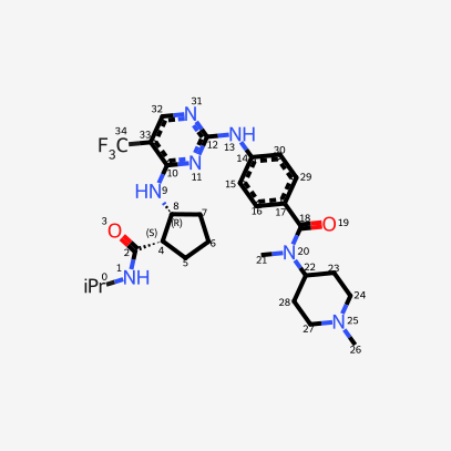 CC(C)NC(=O)[C@H]1CCC[C@H]1Nc1nc(Nc2ccc(C(=O)N(C)C3CCN(C)CC3)cc2)ncc1C(F)(F)F